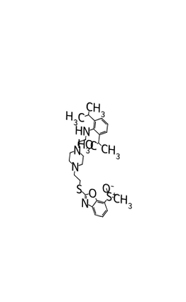 CC(C)c1cccc(C(C)C)c1NC(=O)CN1CCN(CCSc2nc3cccc([S+](C)[O-])c3o2)CC1